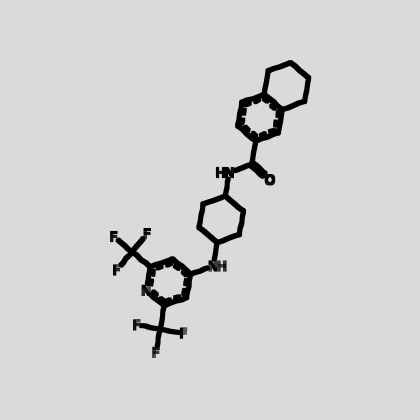 O=C(NC1CCC(Nc2cc(C(F)(F)F)nc(C(F)(F)F)c2)CC1)c1ccc2c(c1)CCCC2